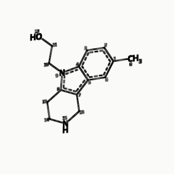 Cc1ccc2c(c1)c1c(n2CCO)CCNC1